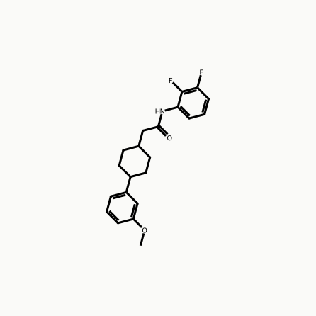 COc1cccc(C2CCC(CC(=O)Nc3cccc(F)c3F)CC2)c1